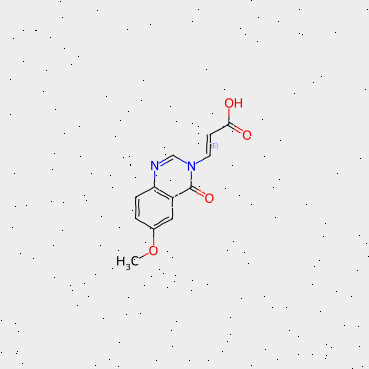 COc1ccc2ncn(/C=C/C(=O)O)c(=O)c2c1